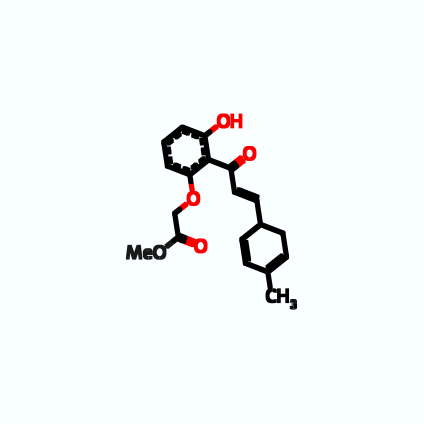 COC(=O)COc1cccc(O)c1C(=O)C=CC1C=CC(C)=CC1